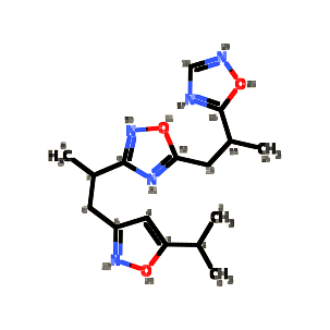 CC(C)c1cc(CC(C)c2noc(CC(C)c3ncno3)n2)no1